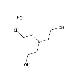 Cl.OCCN(CCO)CCCl